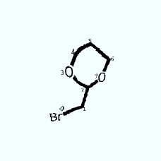 BrCC1OCCCO1